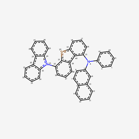 c1ccc(N(c2ccc3ccccc3c2)c2cccc3sc4c(-n5c6ccccc6c6ccccc65)cccc4c23)cc1